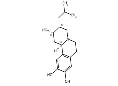 CC(C)C[C@@H]1CN2CCc3cc(O)c(O)cc3[C@H]2C[C@@H]1O